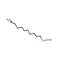 C=CCCCCCCCCCOC=O